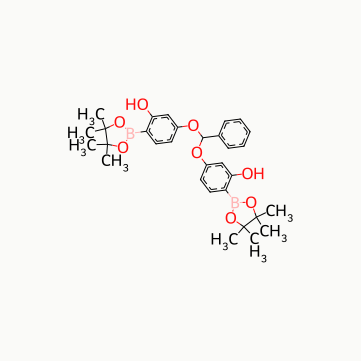 CC1(C)OB(c2ccc(OC(Oc3ccc(B4OC(C)(C)C(C)(C)O4)c(O)c3)c3ccccc3)cc2O)OC1(C)C